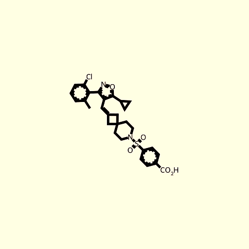 Cc1cccc(Cl)c1-c1noc(C2CC2)c1C=C1CC2(CCN(S(=O)(=O)c3ccc(C(=O)O)cc3)CC2)C1